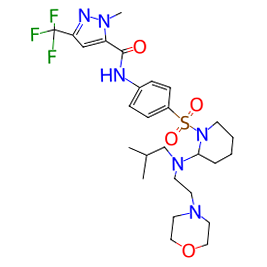 CC(C)CN(CCN1CCOCC1)C1CCCCN1S(=O)(=O)c1ccc(NC(=O)c2cc(C(F)(F)F)nn2C)cc1